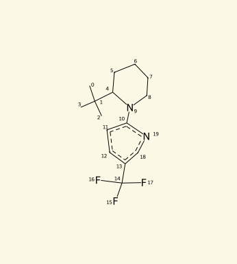 CC(C)(C)C1CCCCN1c1ccc(C(F)(F)F)cn1